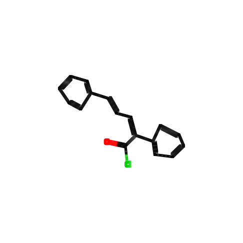 O=C(Cl)C(=CC=Cc1ccccc1)c1ccccc1